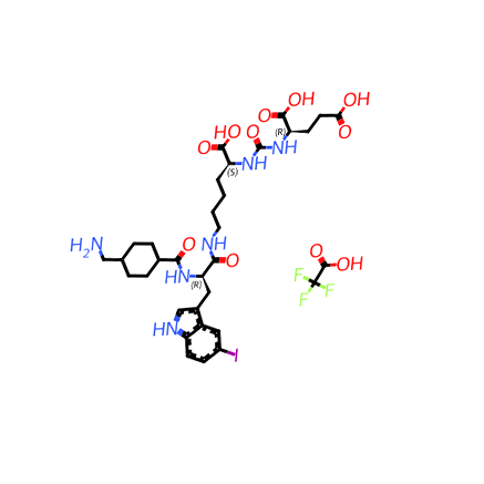 NCC1CCC(C(=O)N[C@H](Cc2c[nH]c3ccc(I)cc23)C(=O)NCCCC[C@H](NC(=O)N[C@H](CCC(=O)O)C(=O)O)C(=O)O)CC1.O=C(O)C(F)(F)F